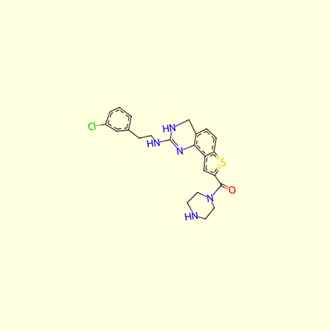 O=C(c1cc2c3c(ccc2s1)CNC(NCCc1cccc(Cl)c1)=N3)N1CCNCC1